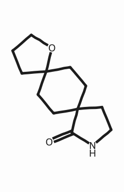 O=C1NCCC12CCC1(CCCO1)CC2